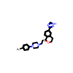 CC(=O)c1ccc(N2CCN(CC[C@@H]3OCCc4cc(-c5nc[nH]n5)ccc43)CC2)cc1